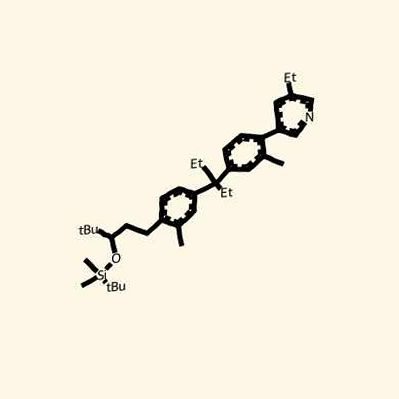 CCc1cncc(-c2ccc(C(CC)(CC)c3ccc(CCC(O[Si](C)(C)C(C)(C)C)C(C)(C)C)c(C)c3)cc2C)c1